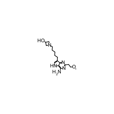 COCCc1nc(N)c2[nH]cc(CCCCCN3CC(O)C3)c2n1